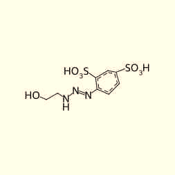 O=S(=O)(O)c1ccc(N=NNCCO)c(S(=O)(=O)O)c1